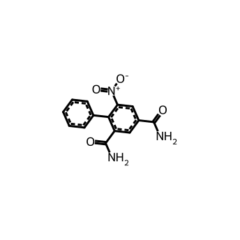 NC(=O)c1cc(C(N)=O)c(-c2ccccc2)c([N+](=O)[O-])c1